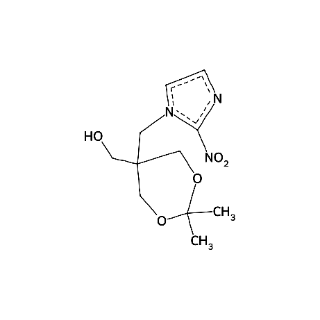 CC1(C)OCC(CO)(Cn2ccnc2[N+](=O)[O-])CO1